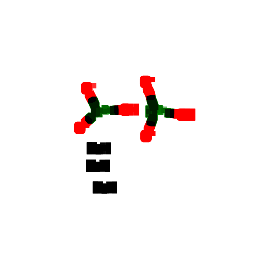 [NaH].[NaH].[NaH].[O-][Br+2]([O-])O.[O-][Br+2]([O-])O